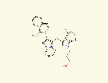 Cc1cccc2c1c(Cc1c(-c3ccc4ccccc4c3C(=O)O)nc3ccccn13)cn2CCCO